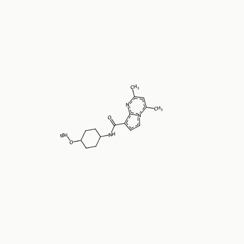 Cc1cc(C)n2ccc(C(=O)NC3CCC(OC(C)(C)C)CC3)c2n1